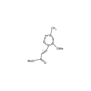 COC(=O)/C=C/c1ccc(C)cc1OC